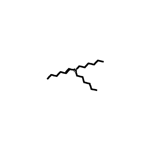 CCCCC=CN(CCCCCC)CCCCCC